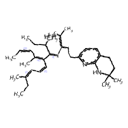 C\C=C/C(C)=C(/C=C\C=C(\C)CC)C(=N\C(CCc1ccc2c(n1)NC(C)(C)CC2)=C(C)C)\C(C)CC